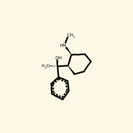 CN[C@H]1CCCC[C@H]1[C@](C)(O)c1ccccc1